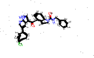 O=C(c1c[nH]c2ncc(-c3ccc(Cl)cc3)cc12)c1cccc2c1ccn2C(=O)NCc1ccccc1